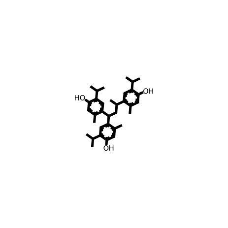 Cc1cc(O)c(C(C)C)cc1C(C)CC(c1cc(C(C)C)c(O)cc1C)c1cc(C(C)C)c(O)cc1C